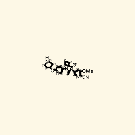 C=C1N(c2cnc(C#N)c(OC)c2)C(=O)C2(CCC2)N1c1ccc(OC2CCNCC2)nc1